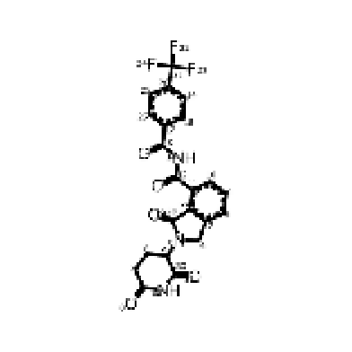 O=C1CCC(N2Cc3cccc(C(=O)NC(=O)c4ccc(C(F)(F)F)cc4)c3C2=O)C(=O)N1